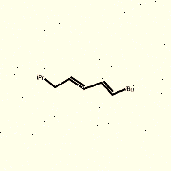 CCC(C)C=C/[C]=C/CC(C)C